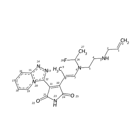 C=CCNCCN(/C=C(\C)C1=C(c2nnc3ccccn23)C(=O)NC1=O)C(C)F